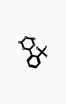 FC(F)(F)c1ccccc1B1OBOBO1